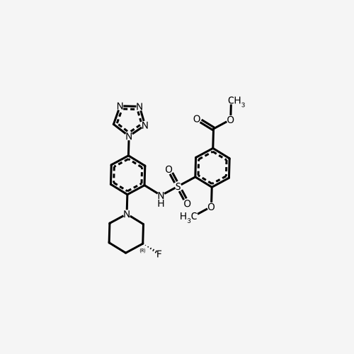 COC(=O)c1ccc(OC)c(S(=O)(=O)Nc2cc(-n3cnnn3)ccc2N2CCC[C@@H](F)C2)c1